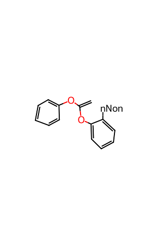 C=C(Oc1ccccc1)Oc1ccccc1CCCCCCCCC